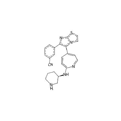 N#Cc1cccc(-c2nc3sccn3c2C2=CC=NC(N[C@@H]3CCCNC3)=C=C2)c1